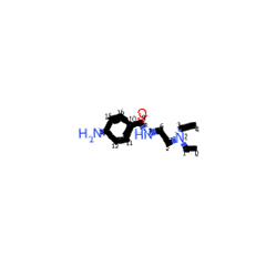 CCN(CC)CCNC(=O)C1=CCC(N)C=C1